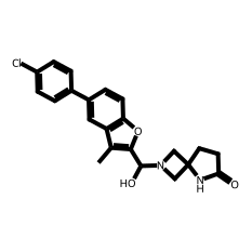 Cc1c(C(O)N2CC3(CCC(=O)N3)C2)oc2ccc(-c3ccc(Cl)cc3)cc12